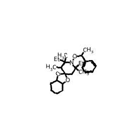 CCC1(C)CC2(OC3CCCCC3O2)C(C)C(C)(CC)N1OC(C)c1ccccc1